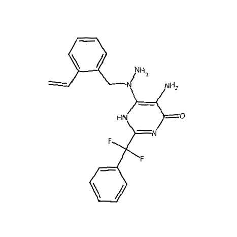 C=Cc1ccccc1CN(N)c1[nH]c(C(F)(F)c2ccccc2)nc(=O)c1N